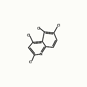 Clc1cc(Cl)c2c(Cl)c(Cl)ccc2n1